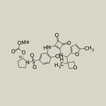 COC(=O)O[C@H]1CCCN1S(=O)(=O)c1ccc(Cl)c(Nc2c(NC(c3ccc(C)o3)C3(C)COC3)c(=O)c2=O)c1